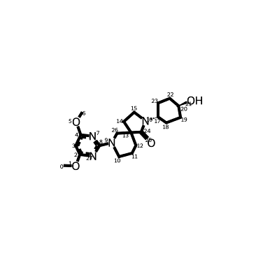 COc1cc(OC)nc(N2CCCC3(CCN([C@H]4CC[C@H](O)CC4)C3=O)C2)n1